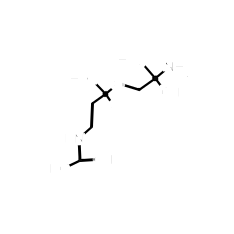 CC(C)NCCC(C)(C)OCC(C)(C)N